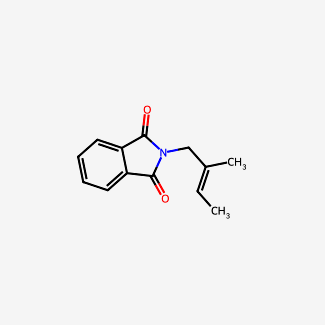 CC=C(C)CN1C(=O)c2ccccc2C1=O